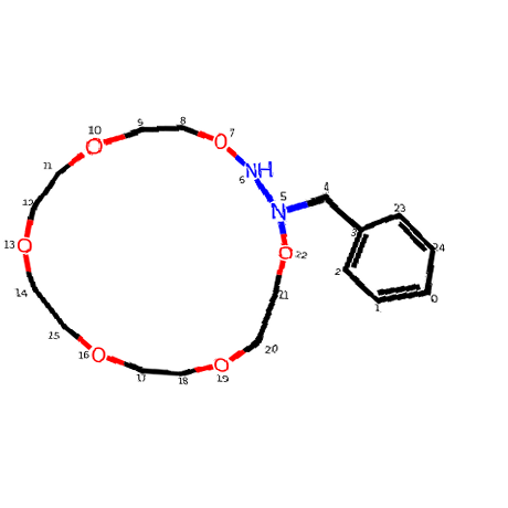 c1ccc(CN2NOCCOCCOCCOCCOCCO2)cc1